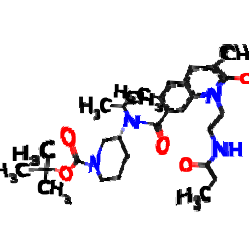 CCC(=O)NCCn1c(=O)c(C)cc2cc(C)c(C(=O)N(C(C)C)[C@@H]3CCCN(C(=O)OC(C)(C)C)C3)cc21